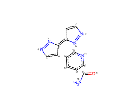 C1=CC(=C2C=CN=N2)N=N1.NC=O.c1ccncc1